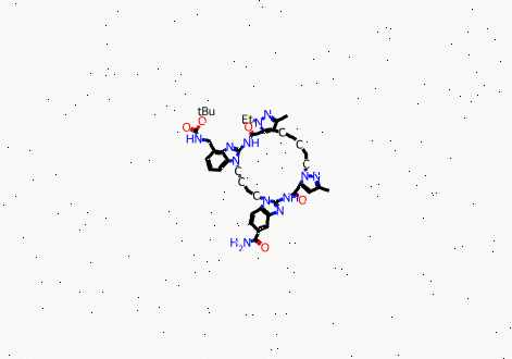 CCn1nc(C)c2c1C(=O)Nc1nc3c(CNC(=O)OC(C)(C)C)cccc3n1CCCCn1c(nc3cc(C(N)=O)ccc31)NC(=O)c1cc(C)nn1CCCCC2